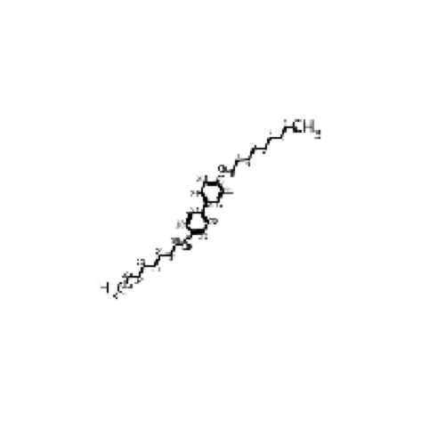 CCCCCCCCCSc1ccc(-c2ccc(SCCCCCCCC)cc2)cc1